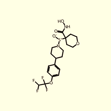 O=C(NO)C1([S+]([O-])N2CCC(c3ccc(OC(F)(F)C(F)F)cc3)CC2)CCOCC1